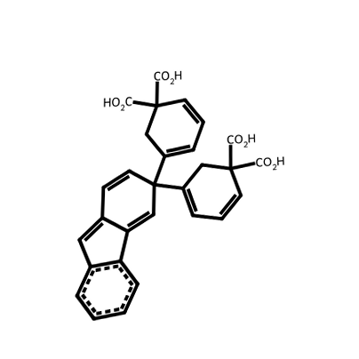 O=C(O)C1(C(=O)O)C=CC=C(C2(C3=CC=CC(C(=O)O)(C(=O)O)C3)C=CC3=Cc4ccccc4C3=C2)C1